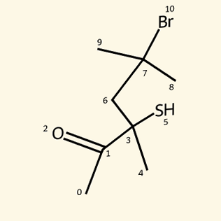 CC(=O)C(C)(S)CC(C)(C)Br